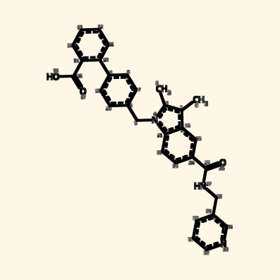 Cc1c(C)n(Cc2ccc(-c3ccccc3C(=O)O)cc2)c2ccc(C(=O)NCc3cccnc3)cc12